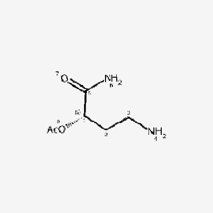 CC(=O)O[C@@H](CCN)C(N)=O